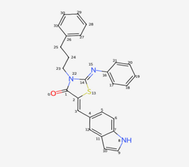 O=C1/C(=C/c2ccc3[nH]ccc3c2)S/C(=N\c2ccccc2)N1CCCc1ccccc1